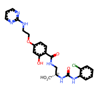 O=C(Nc1ccccc1Cl)N[C@@H](CNC(=O)c1ccc(OCCNc2ncccn2)cc1O)C(=O)O